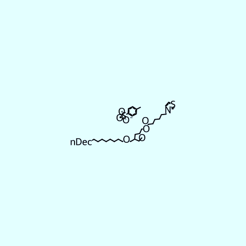 CCCCCCCCCCCCCCCCCCOCC1COC(COC(=O)CCCCC[n+]2ccsc2)C1.Cc1ccc(S(=O)(=O)[O-])cc1